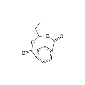 CCC1OC(=O)c2ccc(cc2)C(=O)O1